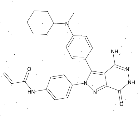 C=CC(=O)Nc1ccc(-n2nc3c(=O)[nH]nc(N)c3c2-c2ccc(N(C)C3CCCCC3)cc2)cc1